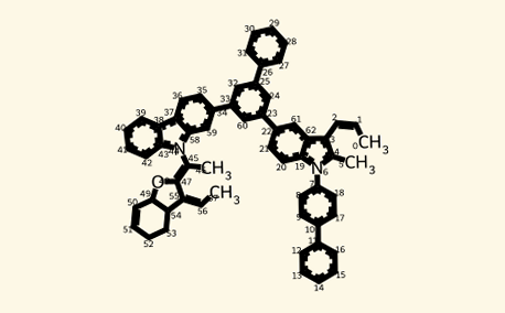 C/C=C\c1c(C)n(-c2ccc(-c3ccccc3)cc2)c2ccc(-c3cc(-c4ccccc4)cc(-c4ccc5c6ccccc6n(/C(C)=C6\OC7C=CCCC7\C6=C\C)c5c4)c3)cc12